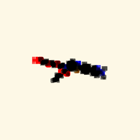 CCCCOC(=O)N(CCOCCOCCO)c1ccc2nc(-c3ccc(-c4ccc(N(C)C)nc4)cc3)sc2c1